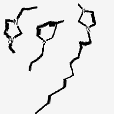 CCCCCCCCCCN1C=CN(C)C1.CCCN1C=CC=C(C)C1.CCN1C=CN(C)C1